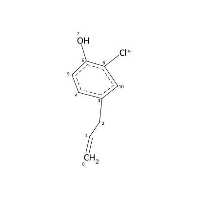 C=CCc1ccc(O)c(Cl)c1